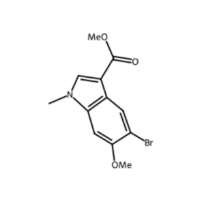 COC(=O)c1cn(C)c2cc(OC)c(Br)cc12